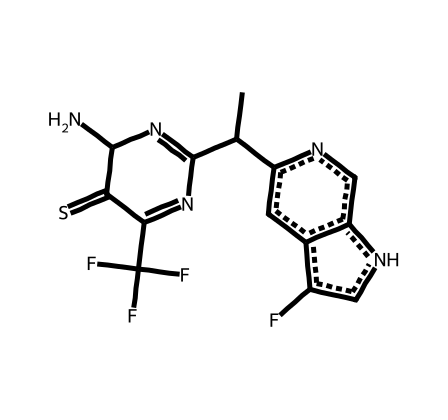 CC(C1=NC(N)C(=S)C(C(F)(F)F)=N1)c1cc2c(F)c[nH]c2cn1